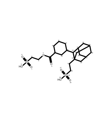 O=C(OCCS(=O)(=O)O)C1CCCC(C2C3CC4CC(C3)CC2(CCS(=O)(=O)O)C4)C1